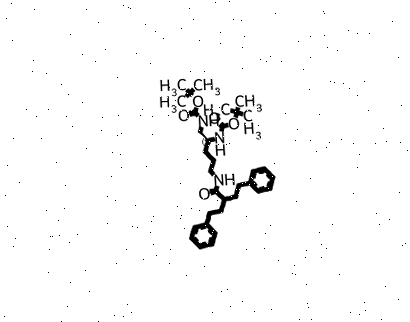 CC(C)(C)OC(=O)NC[C@H](CCCNC(=O)C(CCc1ccccc1)CCc1ccccc1)NC(=O)OC(C)(C)C